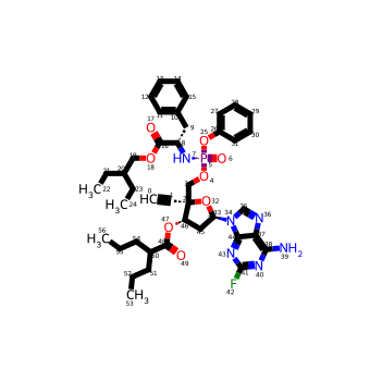 C#C[C@]1(CO[P@@](=O)(N[C@@H](Cc2ccccc2)C(=O)OCC(CC)CC)Oc2ccccc2)O[C@@H](n2cnc3c(N)nc(F)nc32)C[C@@H]1OC(=O)C(CCC)CCC